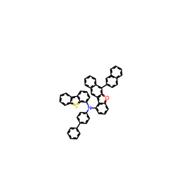 c1ccc(-c2ccc(N(c3cccc4c3sc3ccccc34)c3cccc4oc5c(-c6ccc7ccccc7c6)c6ccccc6cc5c34)cc2)cc1